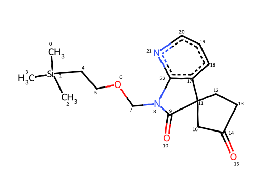 C[Si](C)(C)CCOCN1C(=O)C2(CCC(=O)C2)c2cccnc21